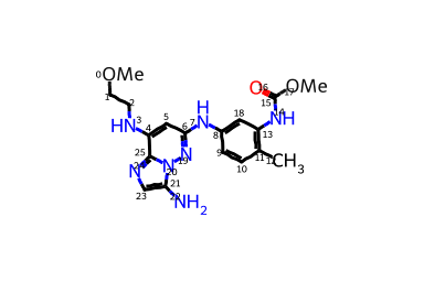 COCCNc1cc(Nc2ccc(C)c(NC(=O)OC)c2)nn2c(N)cnc12